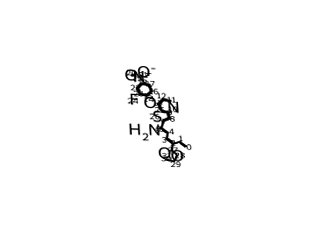 C=C/C(=C\C=C(/N)c1cc2nccc(Oc3ccc([N+](=O)[O-])cc3F)c2s1)C1OCCO1